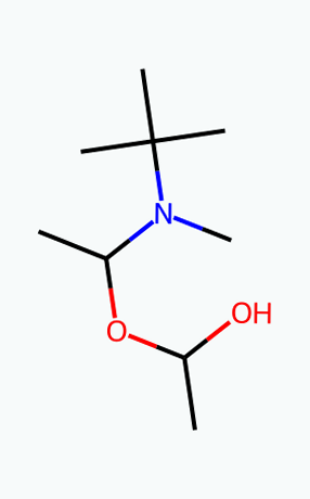 CC(O)OC(C)N(C)C(C)(C)C